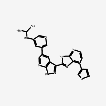 CCCCC(O)Nc1cncc(-c2cnc3[nH]nc(-c4nc5c(-c6ccoc6)ccnc5[nH]4)c3c2)c1